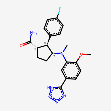 COc1ccc(-c2nnn[nH]2)cc1N(C)[C@H]1CC[C@H](C(N)=O)[C@H]1c1ccc(F)cc1